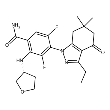 CCc1nn(-c2c(F)cc(C(N)=O)c(N[C@@H]3CCOC3)c2F)c2c1C(=O)CC(C)(C)C2